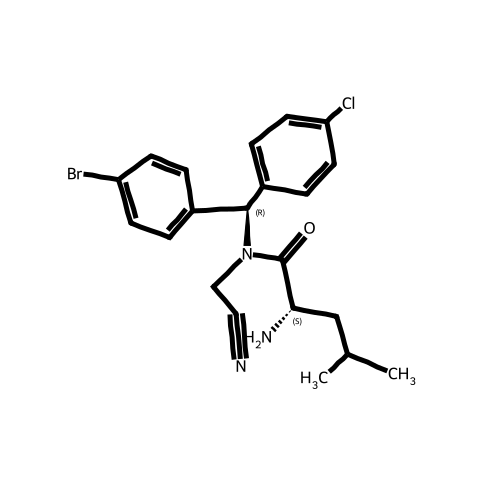 CC(C)C[C@H](N)C(=O)N(CC#N)[C@H](c1ccc(Cl)cc1)c1ccc(Br)cc1